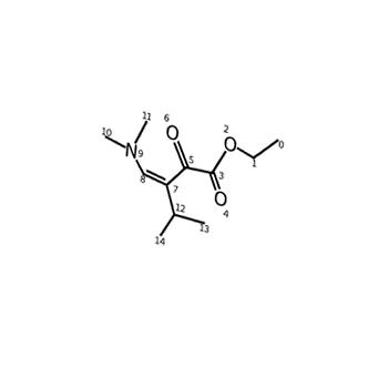 CCOC(=O)C(=O)/C(=C\N(C)C)C(C)C